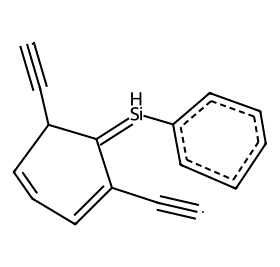 [C]#CC1=CC=CC(C#[C])C1=[SiH]c1ccccc1